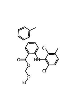 CCOCOC(=O)c1ccccc1Nc1c(Cl)ccc(C)c1Cl.Cc1ccccc1